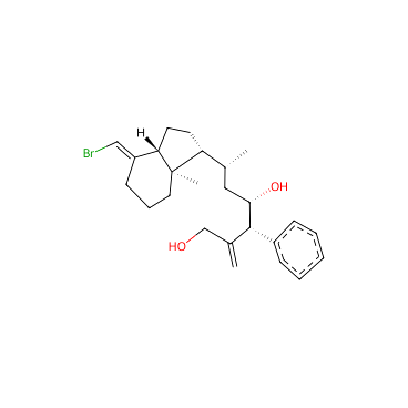 C=C(CO)[C@@H](c1ccccc1)[C@@H](O)C[C@@H](C)[C@H]1CC[C@H]2/C(=C/Br)CCC[C@]12C